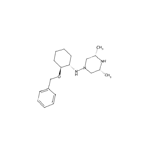 C[C@@H]1CN(N[C@H]2CCCC[C@@H]2OCc2ccccc2)C[C@H](C)N1